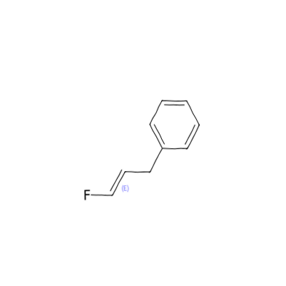 F/C=C/Cc1ccccc1